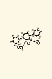 C(OCC1CO1)C1CO1.c1ccc(-c2ccc(-c3ccccc3)cc2)cc1